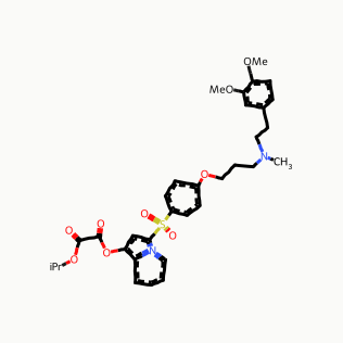 COc1ccc(CCN(C)CCCOc2ccc(S(=O)(=O)c3cc(OC(=O)C(=O)OC(C)C)c4ccccn34)cc2)cc1OC